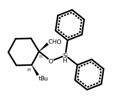 CC(C)(C)[C@H]1CCCC[C@]1(C=O)O[SiH](c1ccccc1)c1ccccc1